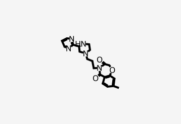 Cc1ccc2c(c1)OCC(=O)N(CCCN1CCNC(c3ncccn3)C1)C2=O